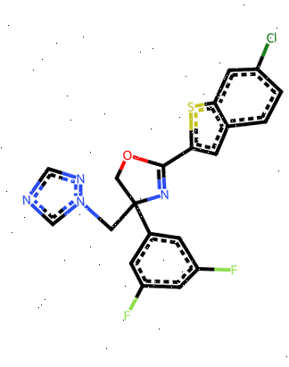 Fc1cc(F)cc(C2(Cn3cncn3)COC(c3cc4ccc(Cl)cc4s3)=N2)c1